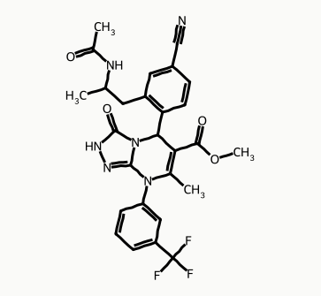 COC(=O)C1=C(C)N(c2cccc(C(F)(F)F)c2)c2n[nH]c(=O)n2C1c1ccc(C#N)cc1CC(C)NC(C)=O